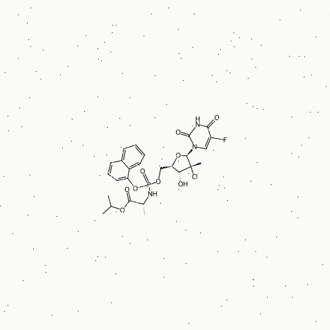 CC(C)OC(=O)[C@@H](C)NP(=O)(OC[C@H]1O[C@@H](n2cc(F)c(=O)[nH]c2=O)[C@](C)(Cl)[C@@H]1O)Oc1cccc2ccccc12